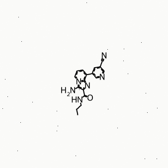 CCCNC(=O)c1nc2c(-c3cncc(C#N)c3)cccn2c1N